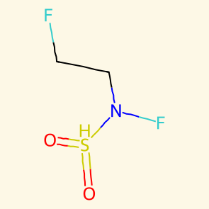 O=[SH](=O)N(F)CCF